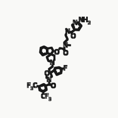 CN(CCCN(C)C(=O)c1ccc(N)nc1)C(=O)CO[C@H]1Cc2ccccc2C12CCN(CC[C@@]1(c3ccc(F)cc3)CN(C(=O)c3cc(C(F)(F)F)cc(C(F)(F)F)c3)CO1)CC2